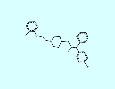 CN(CC1CCN(CCOc2ccccc2F)CC1)[C@H](c1ccc(F)cc1)c1ccccn1